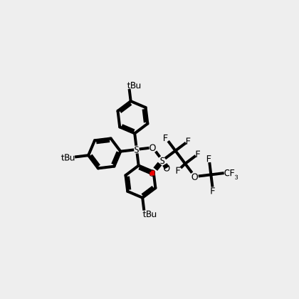 CC(C)(C)c1ccc(S(OS(=O)(=O)C(F)(F)C(F)(F)OC(F)(F)C(F)(F)F)(c2ccc(C(C)(C)C)cc2)c2ccc(C(C)(C)C)cc2)cc1